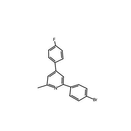 Cc1cc(-c2ccc(F)cc2)cc(-c2ccc(Br)cc2)n1